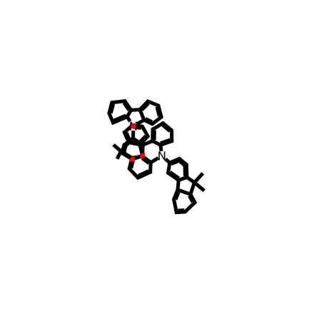 CC1(C)C2=C=C=C(N(c3ccccc3C3=C(n4c5ccccc5c5ccccc54)C=CCC3)c3cccc4c3-c3ccccc3C4(C)C)C=C2c2ccccc21